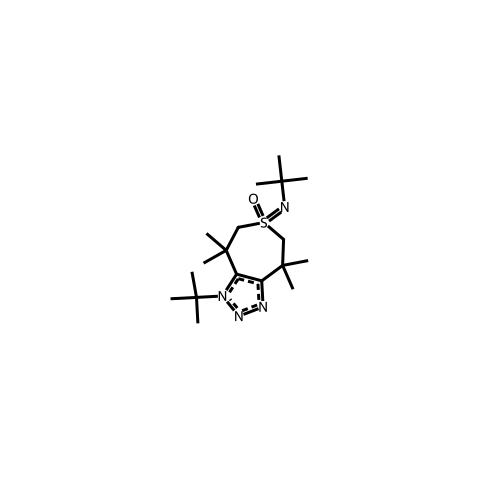 CC(C)(C)N=S1(=O)CC(C)(C)c2nnn(C(C)(C)C)c2C(C)(C)C1